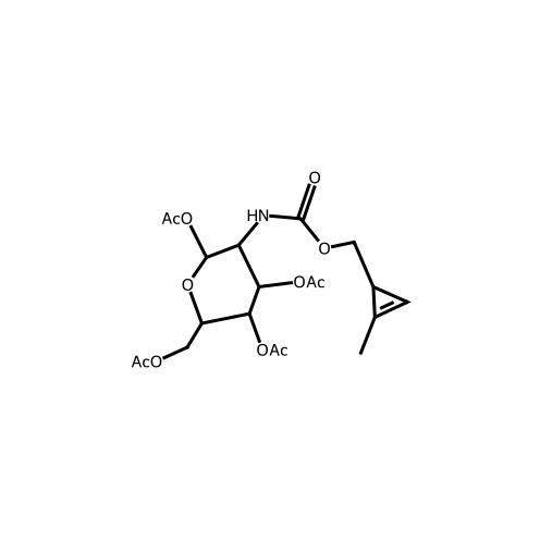 CC(=O)OCC1OC(OC(C)=O)C(NC(=O)OCC2C=C2C)C(OC(C)=O)C1OC(C)=O